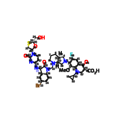 COc1c(N2C[C@@H]3CCCN(CN4C(=O)/C(=N\c5ccn([C@@H]6CS[C@H](CO)O6)c(=O)n5)c5cc(Br)ccc54)[C@@H]3C2)c(F)cc2c(=O)c(C(=O)O)cn(C3CC3)c12